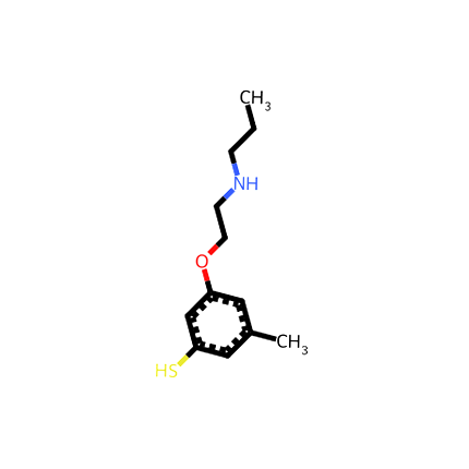 CCCNCCOc1cc(C)cc(S)c1